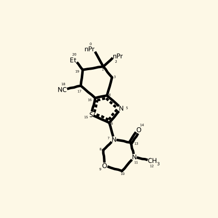 CCCC1(CCC)Cc2nc(N3COCN(C)C3=O)sc2C(C#N)C1CC